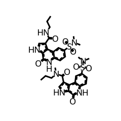 CCCN(C)C(=O)c1c[nH]c2c(=O)[nH]c3ccc(S(=O)(=O)N(C)C)cc3c12.CCCNC(=O)c1c[nH]c2c(=O)[nH]c3ccc(S(=O)(=O)N(C)C)cc3c12